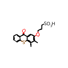 Cc1c(OCCCS(=O)(=O)O)cc2c(=O)c3ccccc3sc2c1C